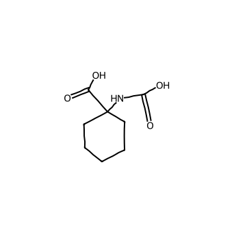 O=C(O)NC1(C(=O)O)CCCCC1